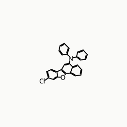 Clc1ccc2c(c1)oc1c3ccccc3c(N(c3ccccc3)c3ccccc3)cc21